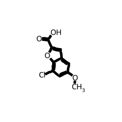 COc1cc(Cl)c2oc(C(=O)O)cc2c1